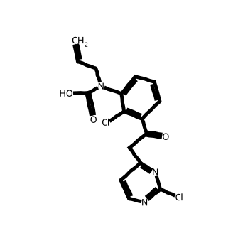 C=CCN(C(=O)O)c1cccc(C(=O)Cc2ccnc(Cl)n2)c1Cl